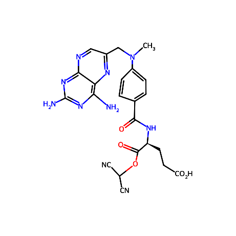 CN(Cc1cnc2nc(N)nc(N)c2n1)c1ccc(C(=O)N[C@@H](CCC(=O)O)C(=O)OC(C#N)C#N)cc1